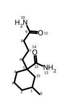 CC1CCCC(CCCC(N)=O)(C(N)=O)C1